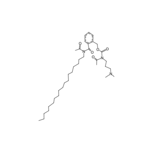 CCCCCCCCCCCCCCCCCCN(C(C)=O)C(=O)c1ccccc1COC(=O)N(CCCN(C)C)C(C)=O